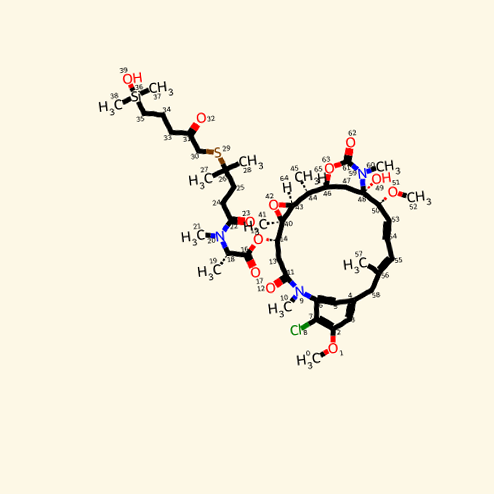 COc1cc2cc(c1Cl)N(C)C(=O)C[C@H](OC(=O)[C@H](C)N(C)C(=O)CCC(C)(C)SCC(=O)CCC[Si](C)(C)O)[C@@]1(C)O[C@H]1[C@H](C)[C@@H]1C[C@](O)([C@H](OC)/C=C/C=C(\C)C2)N(C)C(=O)O1